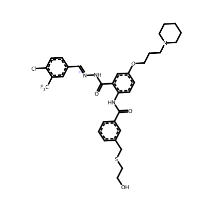 O=C(Nc1ccc(OCCCN2CCCCC2)cc1C(=O)N/N=C/c1ccc(Cl)c(C(F)(F)F)c1)c1cccc(CSCCO)c1